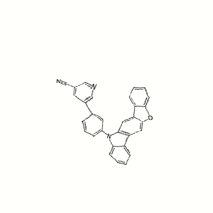 N#Cc1cncc(-c2cccc(-n3c4ccccc4c4cc5oc6ccccc6c5cc43)c2)c1